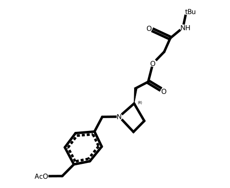 CC(=O)OCc1ccc(CN2CC[C@@H]2CC(=O)OCC(=O)NC(C)(C)C)cc1